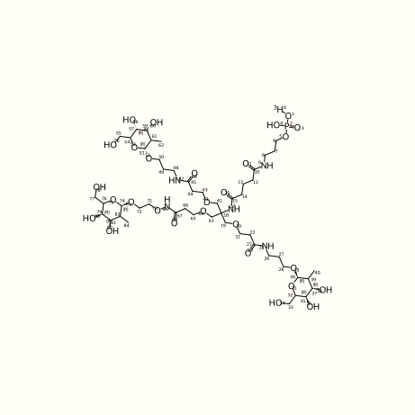 [3H]OP(=O)(O)OCCCNC(=O)CCCC(=O)NC(COCCC(=O)NCCCO[C@@H]1OC(CO)[C@H](O)[C@H](O)C1C)(COCCC(=O)NCCCO[C@@H]1OC(CO)[C@H](O)[C@H](O)C1C)COCCC(=O)NOCCO[C@@H]1OC(CO)[C@H](O)[C@H](O)C1C